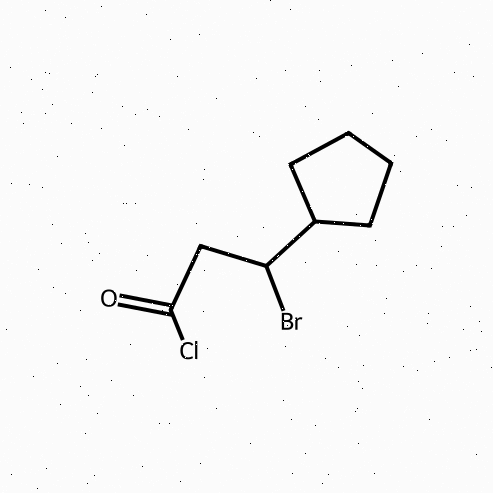 O=C(Cl)CC(Br)C1CCCC1